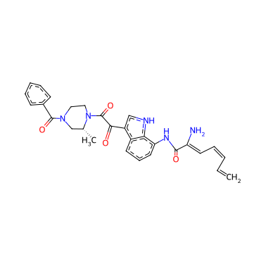 C=C/C=C\C=C(/N)C(=O)Nc1cccc2c(C(=O)C(=O)N3CCN(C(=O)c4ccccc4)C[C@H]3C)c[nH]c12